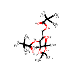 CC1(C)O[C@H]2O[C@H](COC(=O)C(C)(C)C)[C@H](OC(=O)C(C)(C)C)[C@H]2O1